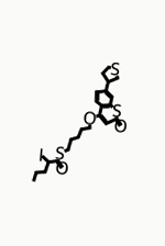 CCCC(I)C(=O)SCCCCCOc1cc(=O)sc2cc(C3CCSC3)ccc12